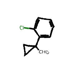 O=[C]C1(c2ccccc2Cl)CC1